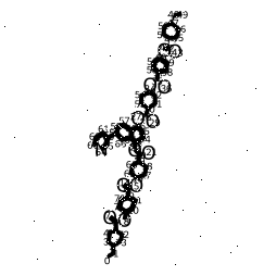 CCC1CCC(C(=O)Oc2ccc(C(=O)OC3CCC(C(=O)Oc4ccc(OC(=O)C5CCC(OC(=O)c6ccc(OC(=O)[C@H]7CC[C@H](CC)CC7)cc6)CC5)c5ccc(-c6cccnc6)cc45)CC3)cc2)CC1